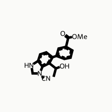 COC(=O)c1cccc(-c2ccc3c(c2C(C)O)N(C#N)CN3)c1